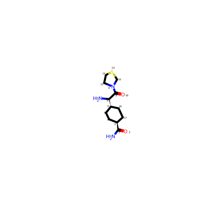 NC(=O)[C@H]1CC[C@H](C(N)C(=O)N2CCSC2)CC1